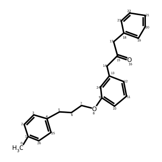 Cc1ccc(CCCOc2cccc(CC(=O)Cc3ccccc3)c2)cc1